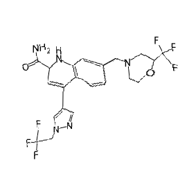 NC(=O)C1C=C(c2cnn(CC(F)(F)F)c2)c2ccc(CN3CCOC(C(F)(F)F)C3)cc2N1